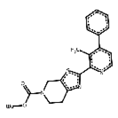 Cc1c(-c2ccccc2)ccnc1-c1nc2c(s1)CN(C(=O)OC(C)(C)C)CC2